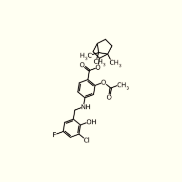 CC(=O)Oc1cc(NCc2cc(F)cc(Cl)c2O)ccc1C(=O)OC1CC2CCC1(C)C2(C)C